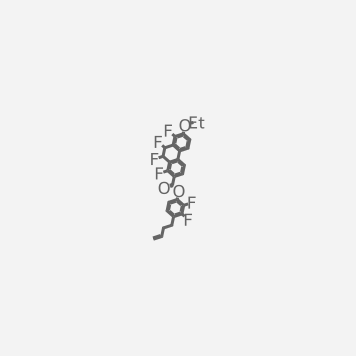 C=CCCc1ccc(OC(=O)c2ccc3c(c2F)C(F)C(F)c2c-3ccc(OCC)c2F)c(F)c1F